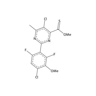 COC(=S)c1nc(-c2c(F)cc(Cl)c(OC)c2F)nc(C)c1Cl